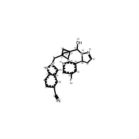 N#Cc1ccc2nn(CC34CC(C(O)N5N=CCC5c5cncc(F)c5)(C3)C4)cc2c1